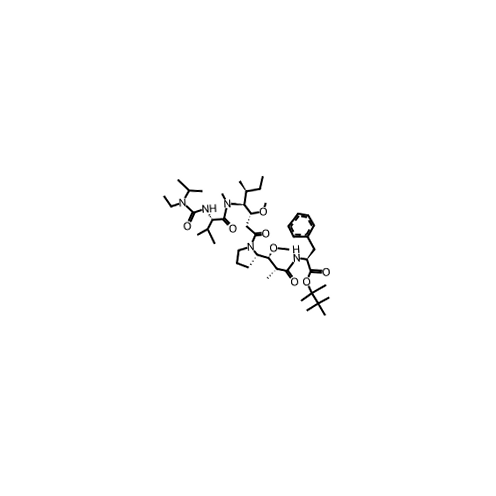 CC[C@H](C)[C@@H]([C@@H](CC(=O)N1CCC[C@H]1[C@H](OC)[C@@H](C)C(=O)N[C@@H](Cc1ccccc1)C(=O)OC(C)(C)C(C)(C)C)OC)N(C)C(=O)[C@@H](NC(=O)N(CC)C(C)C)C(C)C